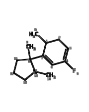 CC1CC=C(F)C=C1C1(C)CCCN1C